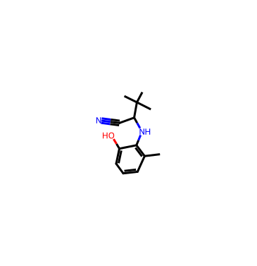 Cc1cccc(O)c1NC(C#N)C(C)(C)C